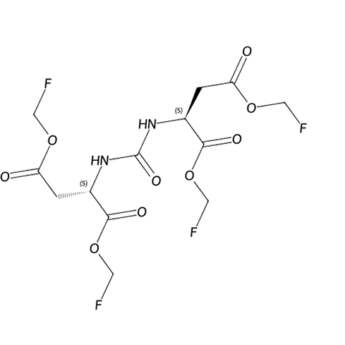 O=C(N[C@@H](CC(=O)OCF)C(=O)OCF)N[C@@H](CC(=O)OCF)C(=O)OCF